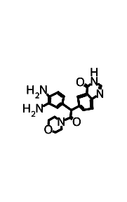 Nc1ccc(C(C(=O)N2CCOCC2)c2ccc3nc[nH]c(=O)c3c2)cc1N